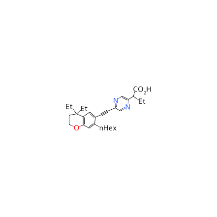 CCCCCCc1cc2c(cc1C#Cc1cnc(C(CC)C(=O)O)cn1)C(CC)(CC)CCO2